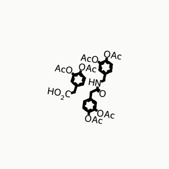 CC(=O)Oc1ccc(CC(=O)O)cc1OC(C)=O.CC(=O)Oc1ccc(CNC(=O)Cc2ccc(OC(C)=O)c(OC(C)=O)c2)cc1OC(C)=O